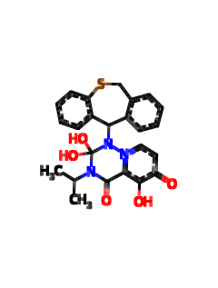 CC(C)N1C(=O)c2c(O)c(=O)ccn2N(C2c3ccccc3CSc3ccccc32)C1(O)O